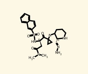 CN(C)C(=O)C[C@@H](NS(=O)(=O)c1ccc2ccccc2c1)C(=O)C1([N]C2CCCN[C@@H]2C=NN)CC1